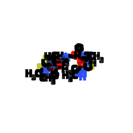 CN[C@@H](C)C(=S)N[C@H]1CCS[C@H]2CC(C)(C)[C@@H](C(=O)N[C@H](COCCn3cc(COC[C@@H](NC(=O)[C@H]4N5C(=O)[C@@H](NC(=S)[C@H](C)NC)CCS[C@H]5CC4(C)C)c4ccccc4)nn3)c3ccccc3)N2C1=O